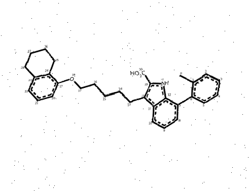 Cc1ccccc1-c1cccc2c(CCCCCOc3cccc4c3CCCC4)c(C(=O)O)[nH]c12